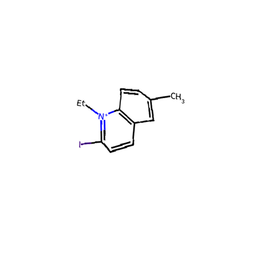 CC[n+]1c(I)ccc2cc(C)ccc21